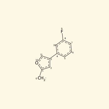 [CH2]c1cc(-c2cccc(F)c2)co1